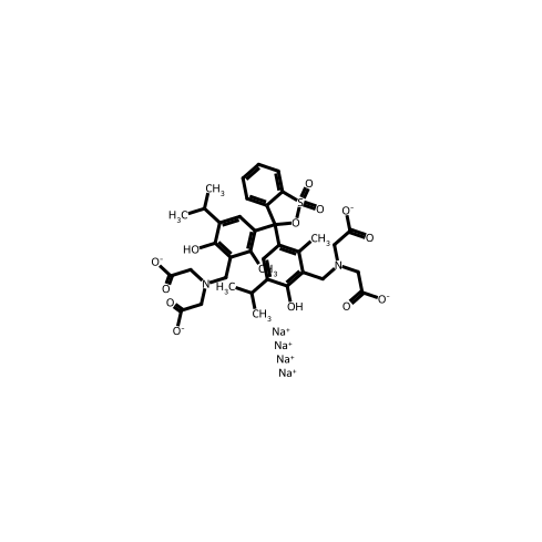 Cc1c(C2(c3cc(C(C)C)c(O)c(CN(CC(=O)[O-])CC(=O)[O-])c3C)OS(=O)(=O)c3ccccc32)cc(C(C)C)c(O)c1CN(CC(=O)[O-])CC(=O)[O-].[Na+].[Na+].[Na+].[Na+]